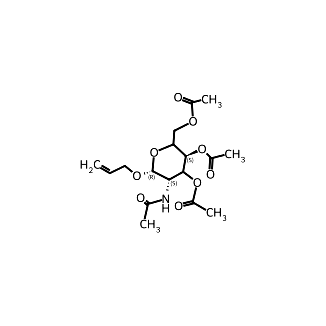 C=CCO[C@@H]1OC(COC(C)=O)[C@@H](OC(C)=O)C(OC(C)=O)[C@@H]1NC(C)=O